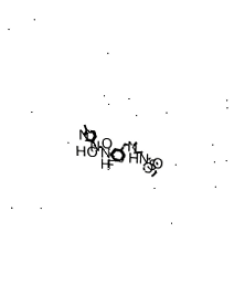 CCS(=O)(=O)CNCCN(C)Cc1ccc(F)c(NC(=O)N(O)c2ccc(C)nc2)c1